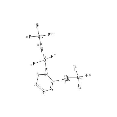 CC(C)(C)c1ccccc1.F[B-](F)(F)F.F[B-](F)(F)F.F[B-](F)(F)F